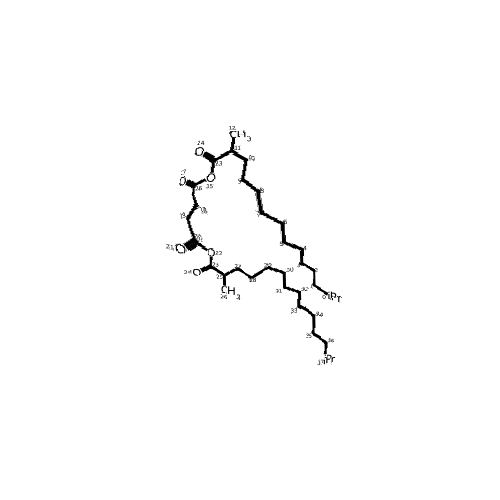 CC(C)CCCCCCCCCCC(C)C(=O)OC(=O)CCC(=O)OC(=O)C(C)CCCCCCCCCCC(C)C